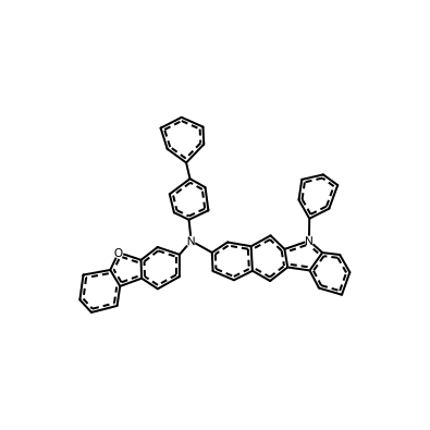 c1ccc(-c2ccc(N(c3ccc4cc5c6ccccc6n(-c6ccccc6)c5cc4c3)c3ccc4c(c3)oc3ccccc34)cc2)cc1